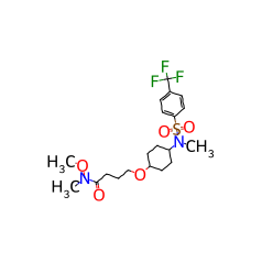 CON(C)C(=O)CCCOC1CCC(N(C)S(=O)(=O)c2ccc(C(F)(F)F)cc2)CC1